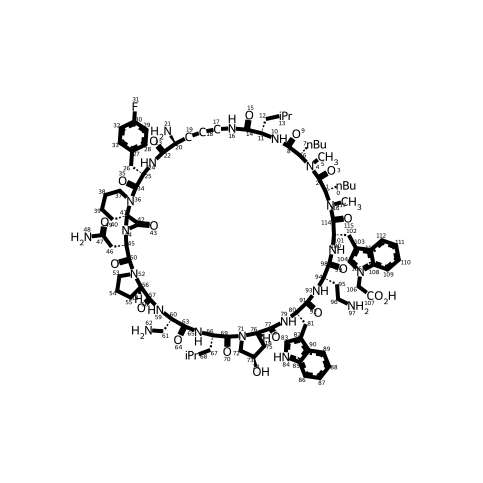 CCCC[C@H]1C(=O)N(C)[C@@H](CCCC)C(=O)N[C@@H](CC(C)C)C(=O)NCCC[C@H](N)C(=O)N[C@@H](Cc2ccc(F)cc2)C(=O)N2CCCC[C@@]23C(=O)N3[C@@H](CC(N)=O)C(=O)N2CCC[C@H]2C(=O)N[C@@H](CN)C(=O)N[C@@H](CC(C)C)C(=O)N2C[C@H](O)C[C@H]2C(=O)N[C@@H](Cc2c[nH]c3ccccc23)C(=O)N[C@@H](CCN)C(=O)N[C@@H](Cc2cn(CC(=O)O)c3ccccc23)C(=O)N1C